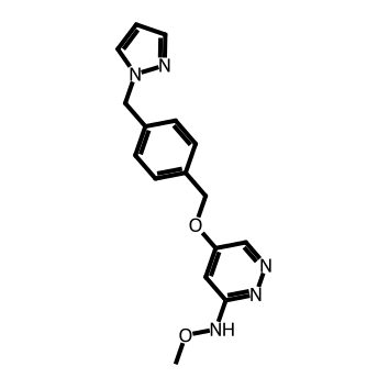 CONc1cc(OCc2ccc(Cn3cccn3)cc2)cnn1